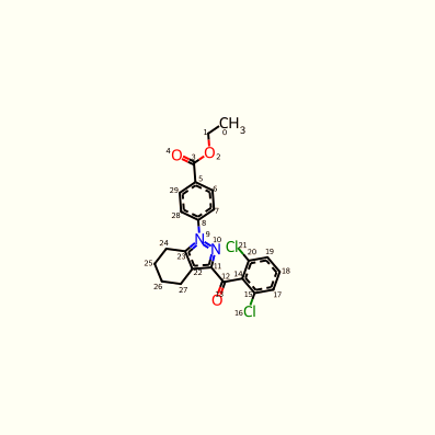 CCOC(=O)c1ccc(-n2nc(C(=O)c3c(Cl)cccc3Cl)c3c2CCCC3)cc1